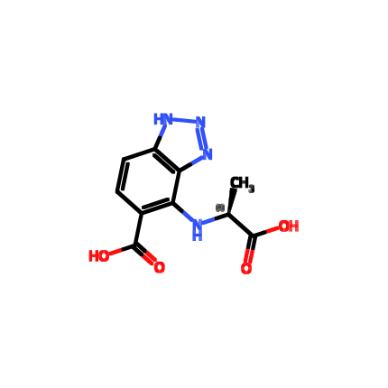 C[C@H](Nc1c(C(=O)O)ccc2[nH]nnc12)C(=O)O